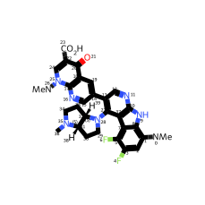 CNc1cc(F)c(F)c2c1[nH]c1ncc(-c3cnc4c(c3)c(=O)c(C(=O)O)cn4NC)c(N3CC[C@H]4[C@@H]3CCN4C)c12